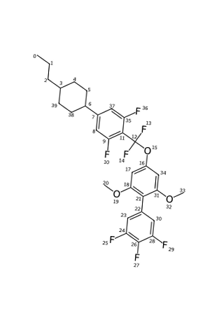 CCCC1CCC(c2cc(F)c(C(F)(F)Oc3cc(OC)c(-c4cc(F)c(F)c(F)c4)c(OC)c3)c(F)c2)CC1